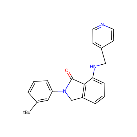 CC(C)(C)c1cccc(N2Cc3cccc(NCc4ccncc4)c3C2=O)c1